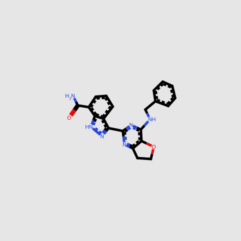 NC(=O)c1cccc2c(-c3nc4c(c(NCc5ccccc5)n3)OCC4)n[nH]c12